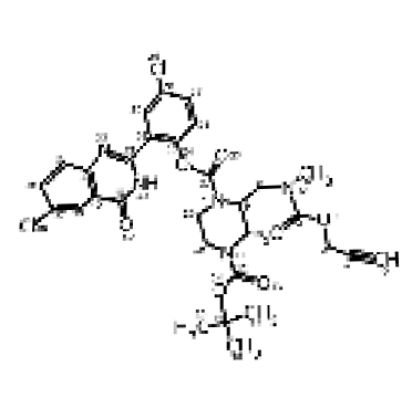 C#CCOC(=O)N(C)CC1CN(C(=O)OC(C)(C)C)CCN1C(=O)Oc1ccc(Cl)cc1-c1nc2ccc(Cl)cc2c(=O)[nH]1